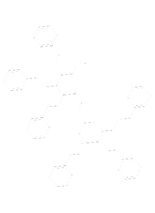 COC1OC(CS[C@H]2C[C@@H](OCc3ccccc3)C(OCc3ccccc3)C(COCc3ccccc3)O2)C(OCc2ccccc2)C(OCc2ccccc2)C1OCc1ccccc1